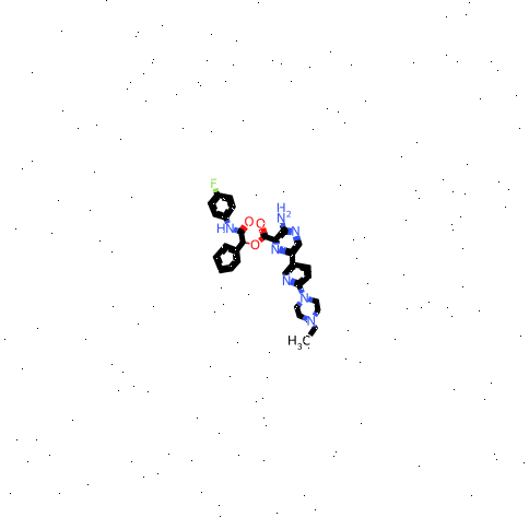 CCN1CCN(c2ccc(-c3cnc(N)c(C(=O)O[C@@H](C(=O)Nc4ccc(F)cc4)c4ccccc4)n3)cn2)CC1